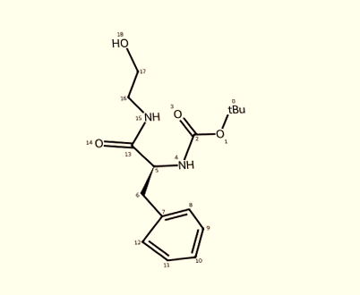 CC(C)(C)OC(=O)N[C@@H](Cc1ccccc1)C(=O)NCCO